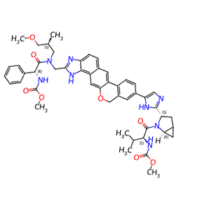 COC[C@@H](C)CN(Cc1nc2ccc3cc4c(cc3c2[nH]1)OCc1cc(-c2cnc([C@@H]3CC5C[C@H]5N3C(=O)[C@@H](NC(=O)OC)C(C)C)[nH]2)ccc1-4)C(=O)[C@H](NC(=O)OC)c1ccccc1